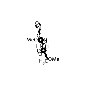 COc1cc2c(Nc3c(Cl)cc(C#CC(C)OC)c4c3OCO4)ncnc2cc1OCCCN1CCOCC1